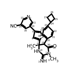 CN1C(=N)N[C@](C)(c2cc(-c3cncc(C#N)c3)cs2)C(c2ccc(C3CCC3)cc2)C1=O